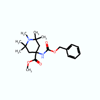 COC(=O)C1(NC(=O)OCc2ccccc2)CC(C)(C)N(C)C(C)(C)C1